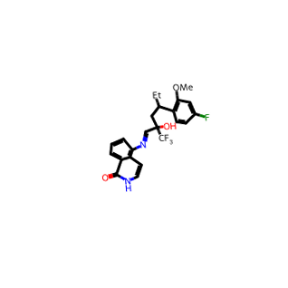 CCC(CC(O)(C=Nc1cccc2c(=O)[nH]ccc12)C(F)(F)F)c1ccc(F)cc1OC